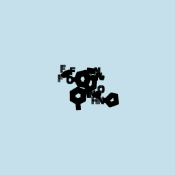 Cc1cccc(C(Cc2ncnn2C)(NC(=O)NC2CCCC2)c2cccc(OC(F)(F)F)c2)c1